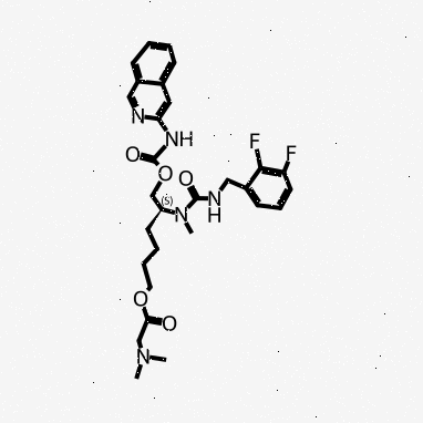 CN(C)CC(=O)OCCCC[C@@H](COC(=O)Nc1cc2ccccc2cn1)N(C)C(=O)NCc1cccc(F)c1F